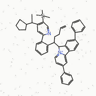 C=CCCC(c1ccccc1-c1cc(C(C)C2CCCC2)c([Si](C)(C)C)cn1)C1c2cc(-c3ccccc3)ccc2-c2cc(-c3ccccc3)cc[n+]21